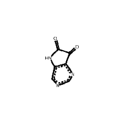 O=C1Nc2cncnc2C1=O